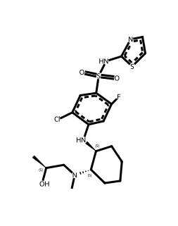 C[C@H](O)CN(C)[C@H]1CCCC[C@@H]1Nc1cc(F)c(S(=O)(=O)Nc2nccs2)cc1Cl